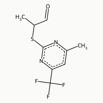 Cc1cc(C(F)(F)F)nc(SC(C)C=O)n1